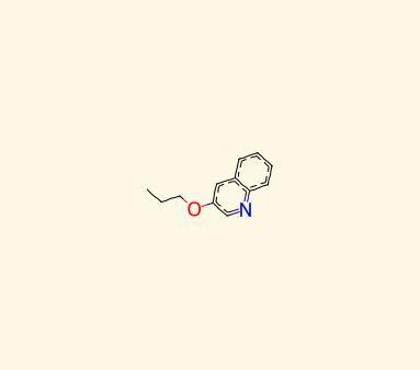 CCCOc1cnc2ccccc2c1